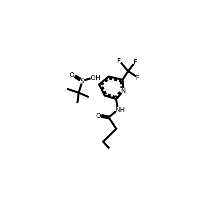 CC(C)(C)S(=O)O.CCCC(=O)Nc1cccc(C(F)(F)F)n1